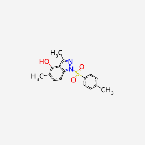 Cc1ccc(S(=O)(=O)n2nc(C)c3c(O)c(C)ccc32)cc1